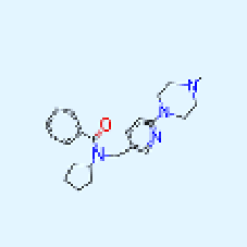 CN1CCN(c2ccc(CN(C(=O)c3ccccc3)C3CCCC3)cn2)CC1